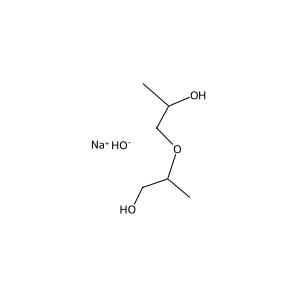 CC(O)COC(C)CO.[Na+].[OH-]